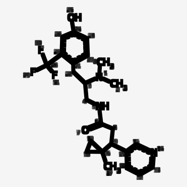 CN(C)C(CNC(=O)CC(c1cccnc1)C1(C)CC1)Cc1ccc(O)cc1C(F)(F)F